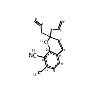 C=CCC1(CC=C)C=Cc2ccc(F)c(C#N)c2O1